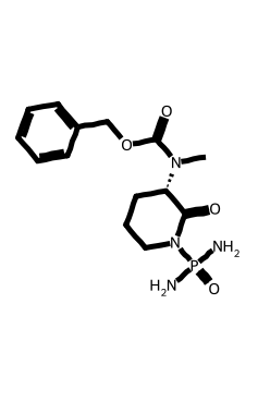 CN(C(=O)OCc1ccccc1)[C@H]1CCCN(P(N)(N)=O)C1=O